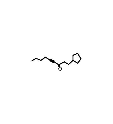 CCCCC#CC(=O)CCC1CCCC1